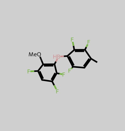 COc1c(F)cc(F)c(F)c1Bc1c(F)cc(C)c(F)c1F